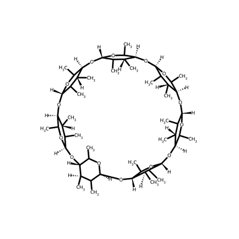 CC1[C@@H]2OC(C)[C@@H](O[C@@H]3OC(C)[C@@H](O[C@H]4OC(C)[C@@H](O[C@@H]5OC(C)[C@@H](O[C@@H]6OC(C)[C@@H](O[C@H]7OC(C)[C@@H](O[C@@H]8OC(C)[C@@H](O2)[C@H](C)C8C)[C@H](C)C7C)[C@H](C)C6C)[C@H](C)C5C)[C@H](C)C4C)[C@H](C)C3C)[C@@H]1C